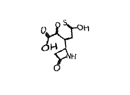 O=C1CC(C(CC(O)=S)C(=O)C(=O)O)N1